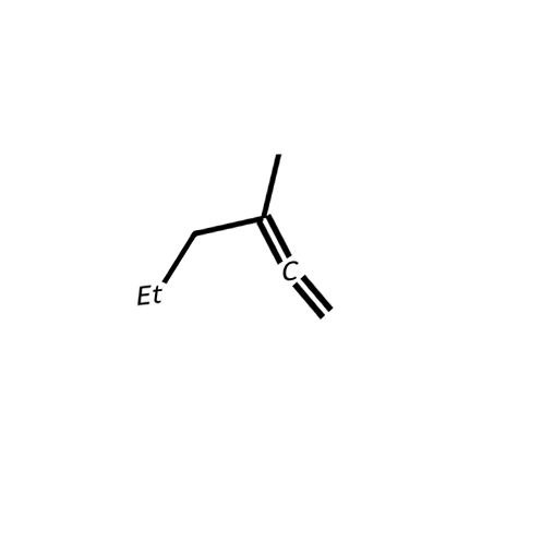 C=C=C(C)CCC